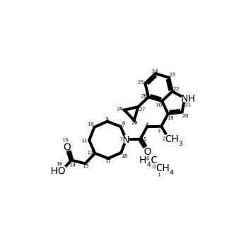 C.C.CC(CC(=O)N1[CH]CCCC(CC(=O)O)CC1)c1c[nH]c2cccc(C3CC3)c12